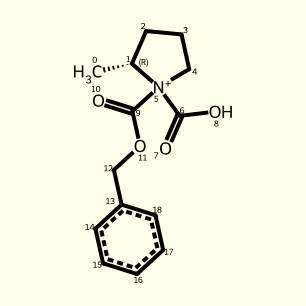 C[C@@H]1CCC[N+]1(C(=O)O)C(=O)OCc1ccccc1